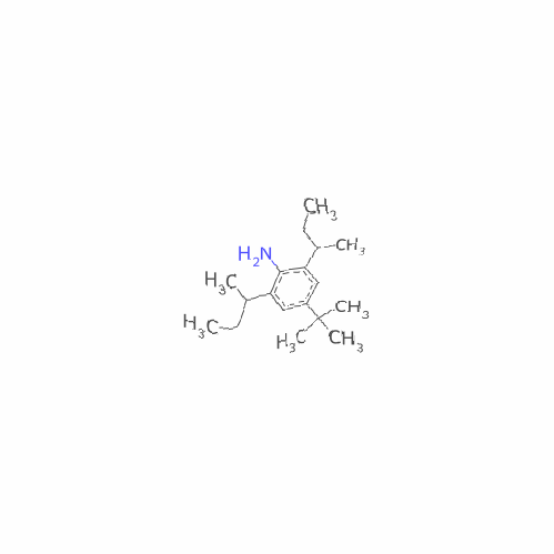 CCC(C)c1cc(C(C)(C)C)cc(C(C)CC)c1N